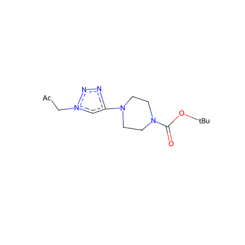 CC(=O)Cn1cc(N2CCN(C(=O)OC(C)(C)C)CC2)nn1